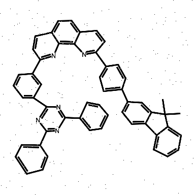 CC1(C)c2ccccc2-c2ccc(-c3ccc(-c4ccc5ccc6ccc(-c7cccc(-c8nc(-c9ccccc9)nc(-c9ccccc9)n8)c7)nc6c5n4)cc3)cc21